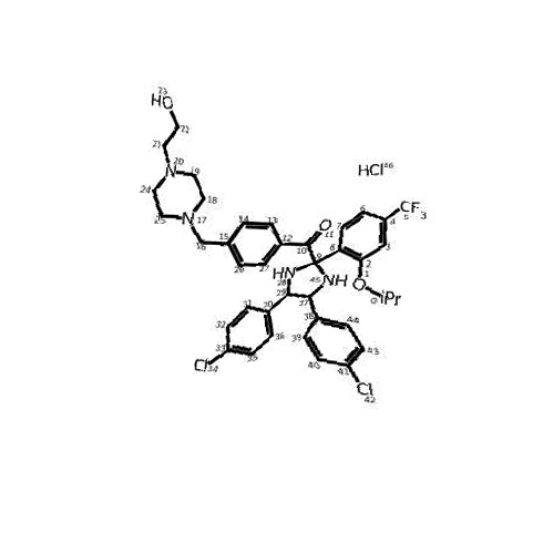 CC(C)Oc1cc(C(F)(F)F)ccc1C1(C(=O)c2ccc(CN3CCN(CCO)CC3)cc2)NC(c2ccc(Cl)cc2)C(c2ccc(Cl)cc2)N1.Cl